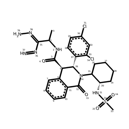 CC(NC(=O)[C@@H]1c2ccccc2C(=O)N(C2CCCC[C@@H]2NS(C)(=O)=O)[C@H]1c1ccc(Cl)cc1Cl)/C(N=N)=N/N